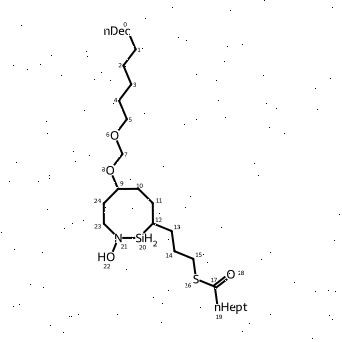 CCCCCCCCCCCCCCCOCOC1CCC(CCCSC(=O)CCCCCCC)[SiH2]N(O)CC1